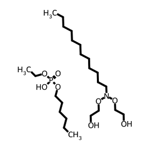 CCCCCCCCCCCCN(OCCO)OCCO.CCCCCCOP(=O)(O)OCC